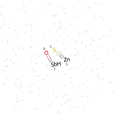 [O]=[SbH].[S]=[Zn]